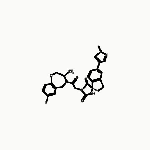 Cn1cc(-c2ccc3c(c2)CC[C@@]32NC(=O)N(CC(=O)N3Cc4cc(F)ccc4OC[C@H]3C(F)(F)F)C2=O)cn1